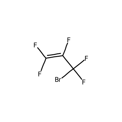 FC(F)=C(F)C(F)(F)Br